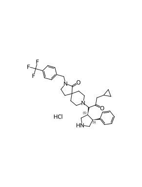 Cl.O=C(CC1CC1)C([C@@H]1CNC[C@@H]1c1ccccc1)N1CCC2(CCN(Cc3ccc(C(F)(F)F)cc3)C2=O)CC1